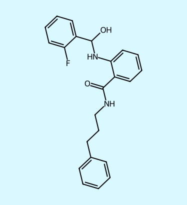 O=C(NCCCc1ccccc1)c1ccccc1NC(O)c1ccccc1F